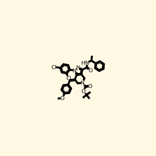 COc1ccc(C=C2CN(C(=O)OC(C)(C)C)Cc3c(C(=O)NC(C)c4ccccc4)nn(-c4ccc(Cl)cc4Cl)c32)cc1